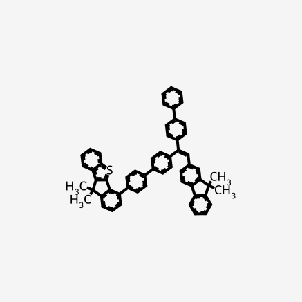 CC1(C)c2ccccc2-c2ccc(/C=C(/c3ccc(-c4ccccc4)cc3)c3ccc(-c4ccc(-c5cccc6c5-c5sc7ccccc7c5C6(C)C)cc4)cc3)cc21